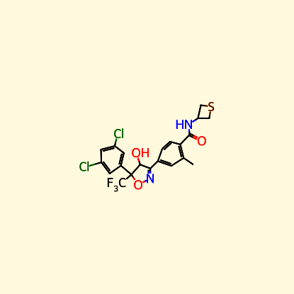 Cc1cc(C2=NOC(c3cc(Cl)cc(Cl)c3)(C(F)(F)F)C2O)ccc1C(=O)NC1CSC1